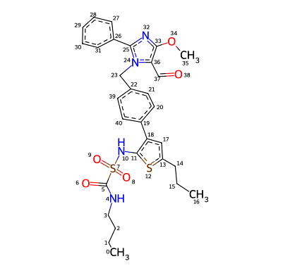 CCCCNC(=O)S(=O)(=O)Nc1sc(CCC)cc1-c1ccc(Cn2c(-c3ccccc3)nc(OC)c2C=O)cc1